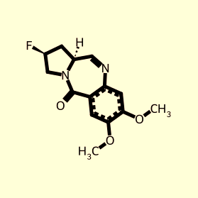 COc1cc2c(cc1OC)C(=O)N1C[C@@H](F)C[C@H]1C=N2